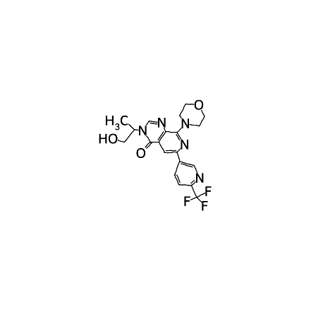 CC(CO)n1cnc2c(N3CCOCC3)nc(-c3ccc(C(F)(F)F)nc3)cc2c1=O